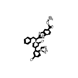 CC(C)(C)OC(=O)c1ccc2[nH]c(C(Cc3ccccc3)n3ccc(-c4cc(Cl)ccc4-n4cnnn4)cc3=O)nc2c1